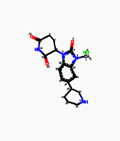 Cl.Cn1c(=O)n(C2CCC(=O)NC2=O)c2ccc(C3CCCNC3)cc21